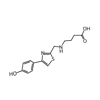 O=C(O)CCCNCc1nc(-c2ccc(O)cc2)cs1